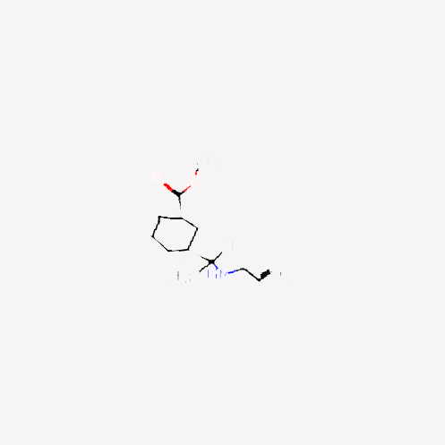 C=CCNC(C)(C)[C@H]1CCC[C@@H](C(=O)OC)C1